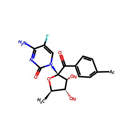 CC(=O)c1ccc(C(=O)[C@@]2(n3cc(F)c(N)nc3=O)O[C@H](C)[C@@H](O)[C@H]2O)cc1